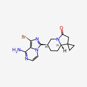 Nc1nccn2c([C@@H]3CC[C@@H]4N(C3)C(=O)CC43CC3)nc(Br)c12